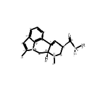 CCN(CC)C(=O)[C@@H]1C=C2c3cccc4cc(C)n(c34)C[C@H]2N(C)C1